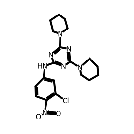 O=[N+]([O-])c1ccc(Nc2nc(N3CCCCC3)nc(N3CCCCC3)n2)cc1Cl